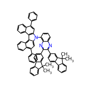 CC1(C)c2ccccc2-c2ccc(-c3nc4cccc(-n5c6cc(-c7ccccc7)c7ccccc7c6c6c7ccccc7c(-c7ccccc7)cc65)c4nc3-c3ccc4c(c3)C(C)(C)c3ccccc3-4)cc21